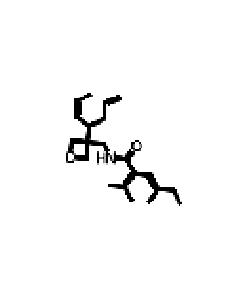 C=CCC(/C=C\C)C1(CNC(=O)C(/C=C(\C)CC)=C(C)C)COC1